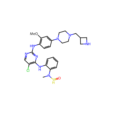 COc1cc(N2CCN(CC3CNC3)CC2)ccc1Nc1ncc(Cl)c(Nc2ccccc2N(C)[SH]=O)n1